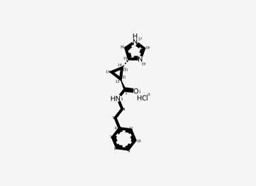 Cl.O=C(NCCc1ccccc1)[C@H]1C[C@@H]1c1c[nH]cn1